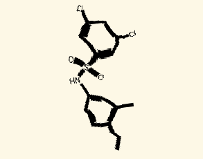 CCc1ccc(NS(=O)(=O)c2cc(Cl)cc(Cl)c2)cc1C